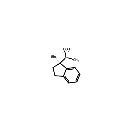 CN(C(=O)O)[C@]1(C(C)(C)C)CCc2ccccc21